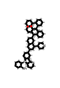 CC(C)c1ccccc1-n1c2ccc(-c3cc(-c4ccncc4)c4cc(-c5c6ccccc6c(-c6ccccc6-c6ccccc6)c6ccccc56)ccc4c3)cc2c2ncccc21